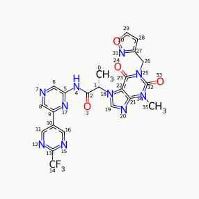 C[C@@H](C(=O)Nc1cncc(-c2cnc(C(F)(F)F)nc2)n1)n1cnc2c1c(=O)n(Cc1ccon1)c(=O)n2C